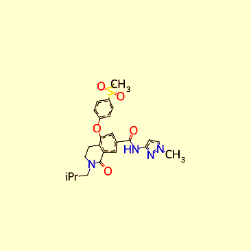 CC(C)CN1CCc2c(Oc3ccc(S(C)(=O)=O)cc3)cc(C(=O)Nc3ccn(C)n3)cc2C1=O